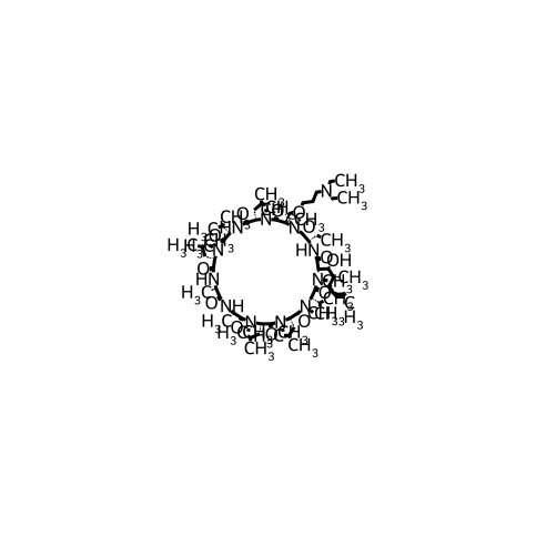 C/C=C/C[C@@H](C)[C@@H](O)[C@H]1C(=O)N[C@@H](CC)C(=O)N(C)[C@H](COCCCN(CC)CC)C(=O)N(C)[C@@H](CC(C)C)C(=O)N[C@@H](C(C)C)C(=O)N(C)[C@@H](CC(C)C)C(=O)N[C@@H](C)C(=O)N[C@H](C)C(=O)N(C)[C@@H](CC(C)C)C(=O)N(C)[C@@H](CC(C)C)C(=O)N(C)[C@@H](C(C)C)C(=O)N1C